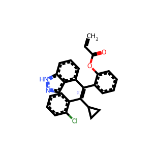 C=CC(=O)Oc1ccccc1/C(=C(/c1ccccc1Cl)C1CC1)c1cccc2[nH]ncc12